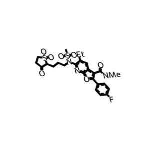 CCc1cc2c(C(=O)NC)c(-c3ccc(F)cc3)oc2nc1N(CCCC1C(=O)CCS1(=O)=O)S(C)(=O)=O